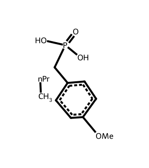 CCCC.COc1ccc(CP(=O)(O)O)cc1